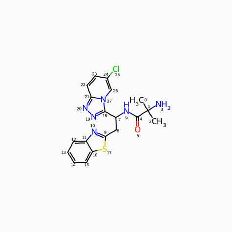 CC(C)(N)C(=O)NC(Cc1nc2ccccc2s1)c1nnc2ccc(Cl)cn12